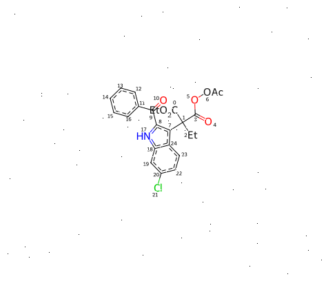 CCOC(=O)C(CC)(C(=O)OOC(C)=O)c1c(C(=O)c2ccccc2)[nH]c2cc(Cl)ccc12